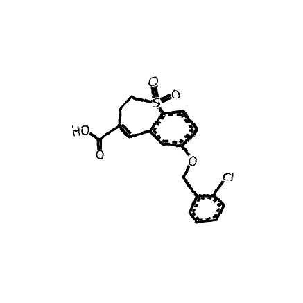 O=C(O)C1=Cc2cc(OCc3ccccc3Cl)ccc2S(=O)(=O)CC1